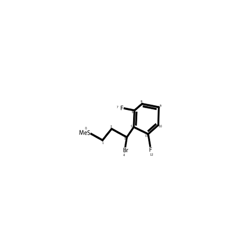 CSCCC(Br)c1c(F)cccc1F